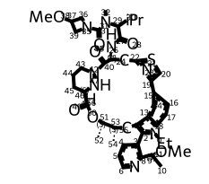 CCn1c(-c2cccnc2[C@H](C)OC)c2c3cc(ccc31)-c1csc(n1)C[C@H](NC(=O)C(C(C)C)N(C)C(=O)N1CC(OC)C1)C(=O)N1CCC[C@H](N1)C(=O)O[C@@H](C)[C@@H](C)C2